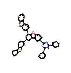 c1ccc(-c2nc(-c3ccccc3)nc(-c3ccc4oc5c(-c6ccc7c(c6)sc6ccccc67)cc(-c6ccc7c(c6)sc6ccccc67)cc5c4c3)n2)cc1